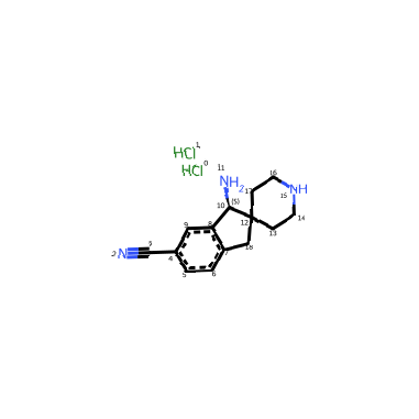 Cl.Cl.N#Cc1ccc2c(c1)[C@@H](N)C1(CCNCC1)C2